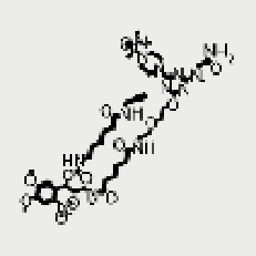 C#CCNC(=O)CCCCCNC(=O)OC(CCN(C)C(=O)CCCCC(=O)NCCOCCOc1nc(N(C)CC(N)=O)nc(N2CCN(P(C)(=O)N(C)C)CC2)n1)c1cc(OC)c(OC)cc1[N+](=O)[O-]